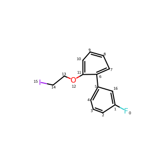 Fc1cccc(-c2ccccc2OCCI)c1